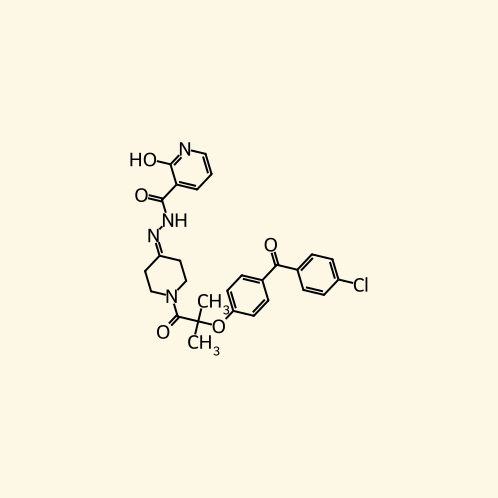 CC(C)(Oc1ccc(C(=O)c2ccc(Cl)cc2)cc1)C(=O)N1CCC(=NNC(=O)c2cccnc2O)CC1